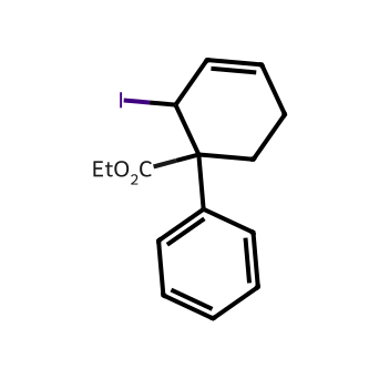 CCOC(=O)C1(c2ccccc2)CCC=CC1I